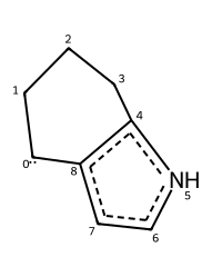 [C]1CCCc2[nH]ccc21